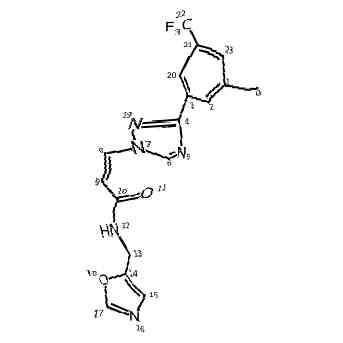 Cc1cc(-c2ncn(/C=C\C(=O)NCc3cnco3)n2)cc(C(F)(F)F)c1